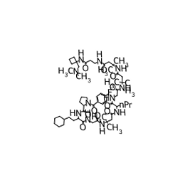 CCCC(NC(=O)CC(C)(C)NC(=O)CNC(=O)C(CCC1CCCCC1)NC(=O)C1CCCN1C(=O)c1ccc(F)cc1)C(=O)NCC(=O)NC(C)(C)CC(=O)NC(C)(C)CC(=O)NCCC(=O)NC1(CN(C)C)CCC1